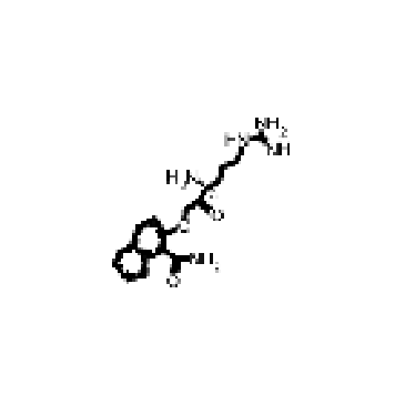 N=C(N)NCCC[C@H](N)C(=O)COc1ccc2ccccc2c1C(N)=O